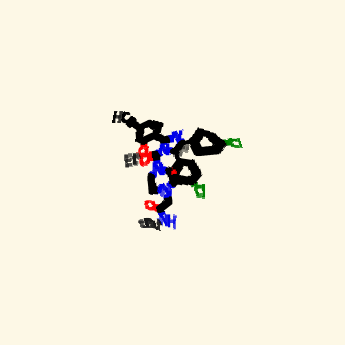 C#Cc1ccc(C2=N[C@@H](c3ccc(Cl)cc3)[C@@H](c3ccc(Cl)cc3)N2C(=O)N2CCN(CC(=O)NC(C)(C)C)CC2)c(OCC)c1